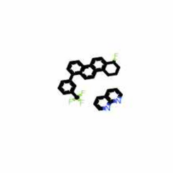 FC1CCCc2c1ccc1c2ccc2c(-c3cccc(C(F)(F)F)c3)cccc21.c1cnc2ncccc2c1